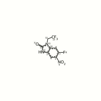 O=c1[nH]c2cc([N+](=O)[O-])c(F)cc2n1CC(F)(F)F